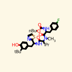 CCCCOC(=O)NC(Cc1ccc(F)cc1)C(=O)N(C)C(C(=O)NC(Cc1ccc(O)c(C(C)(C)C)c1)c1nccs1)C(C)C